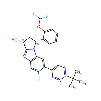 CC(C)(C)c1ncc(-c2cc3c(cc2F)nc2n3[C@@H](c3ccccc3OC(F)F)C[C@H]2O)cn1